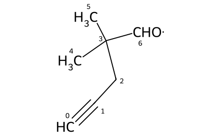 C#CCC(C)(C)[C]=O